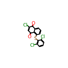 O=C1C(Cl)=CC(=O)c2c(Sc3c(Cl)cccc3Cl)cccc21